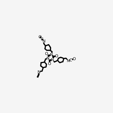 C=C=NCC1CCC(Cn2c(=O)n(CC3CCC(CN=C=O)CC3)c(=O)n(CC3CCC(CN=C=O)CC3)c2=O)CC1